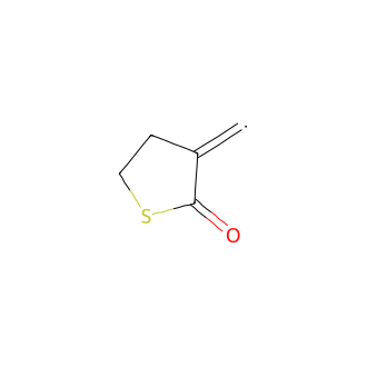 [CH]=C1CCSC1=O